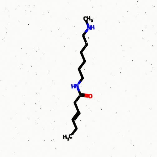 CC/C=C/CC(=O)NCCCCCCNC